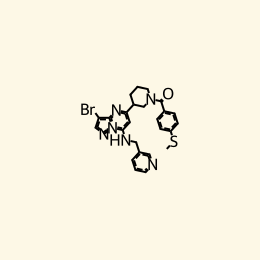 CSc1ccc(C(=O)N2CCCC(c3cc(NCc4cccnc4)n4ncc(Br)c4n3)C2)cc1